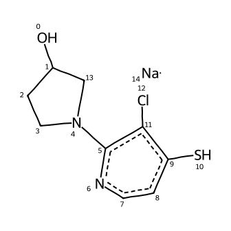 OC1CCN(c2nccc(S)c2Cl)C1.[Na]